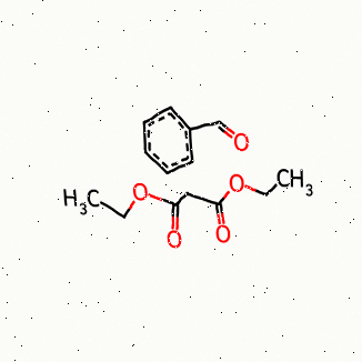 CCOC(=O)CC(=O)OCC.O=Cc1ccccc1